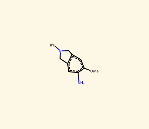 COc1cc2c(cc1N)CN(C(C)C)C2